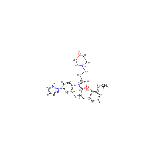 COc1cccc(CN(Cc2cccc(-n3cccn3)c2)c2nc(CCN3CCOCC3)co2)c1